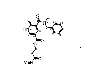 CNC(=O)CCNC(=O)c1c[nH]c(=O)c(C(=O)N(C)Cc2ccccc2)c1